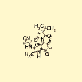 CC(C)=C1CC(=O)N(c2cc(NC(C)C(=O)NCCC#N)c(Cl)cc2F)C1=O